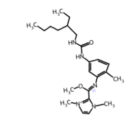 CCCCC(CC)CNC(=O)Nc1ccc(C)c(/N=C(\OC)c2n(C)cc[n+]2C)c1